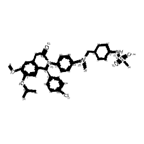 COc1cc2c(cc1OC(C)C)[C@H](c1ccc(Cl)cc1)N(c1ccc(N(C)CC3CCC(NS(C)(=O)=O)CC3)cc1)C(=O)C2